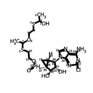 CC(O)SCCOC(C)SCCO[PH](=O)C[C@]12C[C@@H]1[C@@H](n1cnc3c(N)nc(Cl)nc31)[C@H](O)[C@@H]2O